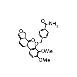 COc1ccc(C2C=CC3=COCC3C2=O)c(OCc2ccc(C(N)=O)cc2)c1OC